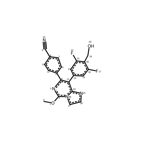 COc1nc(-c2ccc(C#N)cc2)c(-c2cc(F)c(CO)c(F)c2)c2nccn12